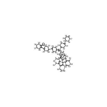 CC1CC=C(c2cccc(N(c3ccc(-c4ccccc4)cc3)c3ccc(-c4ccc5c(c4)oc4ccccc45)cc3)c2)C2=C1C1=C(CCC=C1)C21C2=C(c3ccccc31)C(C)CC=C2